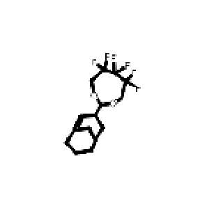 FC1(F)COC(C2C=C3CCCC(C3)C2)OCC(F)(F)C1(F)F